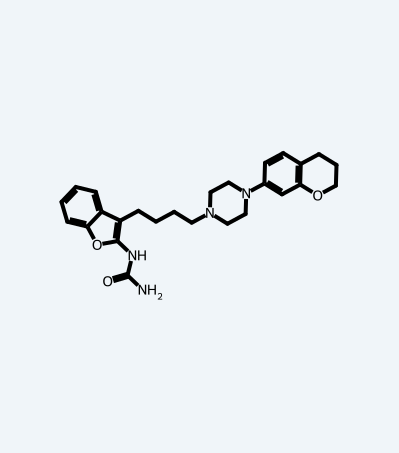 NC(=O)Nc1oc2ccccc2c1CCCCN1CCN(c2ccc3c(c2)OCCC3)CC1